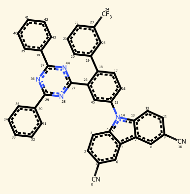 N#Cc1ccc2c(c1)c1cc(C#N)ccc1n2-c1ccc(-c2cccc(C(F)(F)F)c2)c(-c2nc(-c3ccccc3)nc(-c3ccccc3)n2)c1